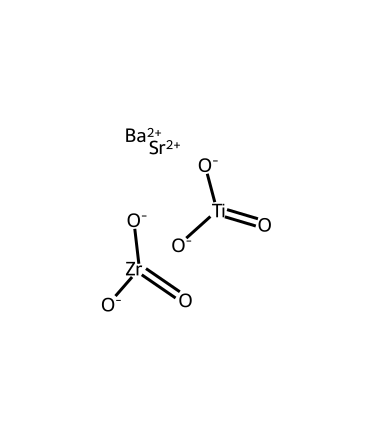 [Ba+2].[O]=[Ti]([O-])[O-].[O]=[Zr]([O-])[O-].[Sr+2]